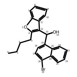 CCCCc1oc2ccccc2c1C(O)c1ccc(Br)c2ccccc12